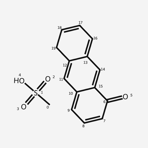 CS(=O)(=O)O.O=C1C=CC=c2cc3c(cc21)=CC=CC3